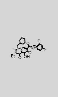 CCN1C(=O)c2c(O)c(=O)c(C(=O)NCc3ccc(F)cc3F)cn2N(CC2CCCCC2)[C@H]1C